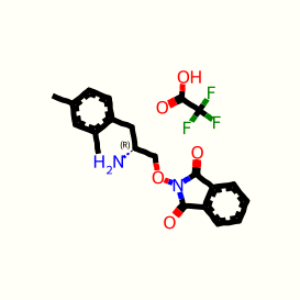 Cc1ccc(C[C@@H](N)CON2C(=O)c3ccccc3C2=O)c(C)c1.O=C(O)C(F)(F)F